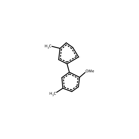 COc1ccc(C)cc1-c1[c]ccc(C)c1